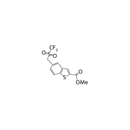 COC(=O)c1cc2cc(CS(=O)(=O)C(F)(F)F)ccc2s1